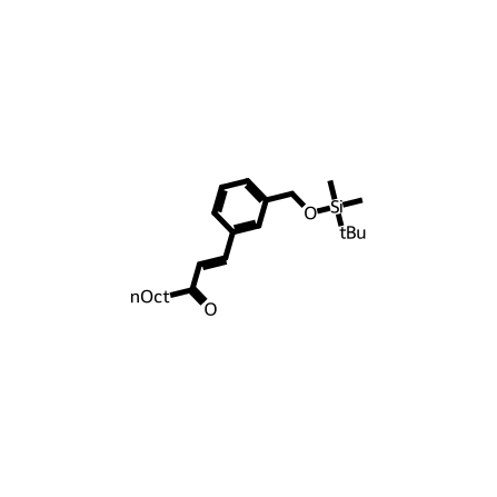 CCCCCCCCC(=O)C=Cc1cccc(CO[Si](C)(C)C(C)(C)C)c1